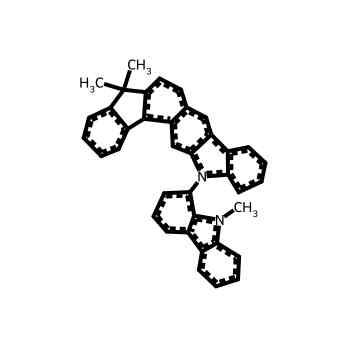 Cn1c2ccccc2c2cccc(-n3c4ccccc4c4cc5ccc6c(c5cc43)-c3ccccc3C6(C)C)c21